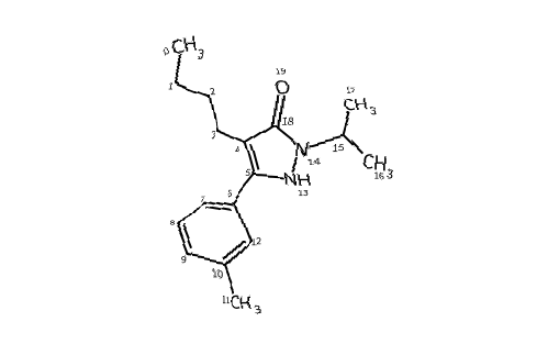 CCCCc1c(-c2cccc(C)c2)[nH]n(C(C)C)c1=O